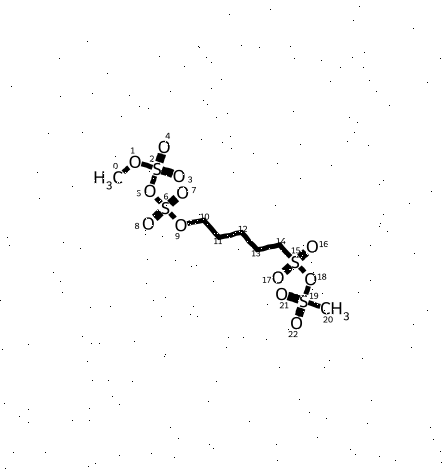 COS(=O)(=O)OS(=O)(=O)OCCCCCS(=O)(=O)OS(C)(=O)=O